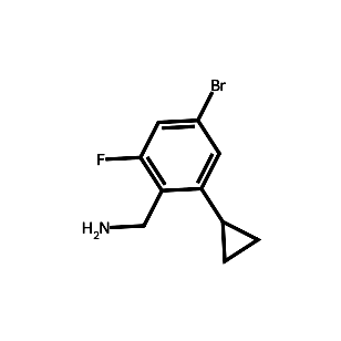 NCc1c(F)cc(Br)cc1C1CC1